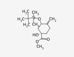 C=C1CC[C@@](O)(C(=O)OC)CC1O[Si](C)(C)C(C)(C)C